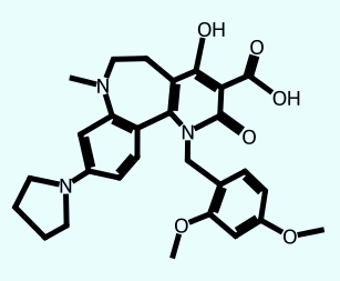 COc1ccc(Cn2c3c(c(O)c(C(=O)O)c2=O)CCN(C)c2cc(N4CCCC4)ccc2-3)c(OC)c1